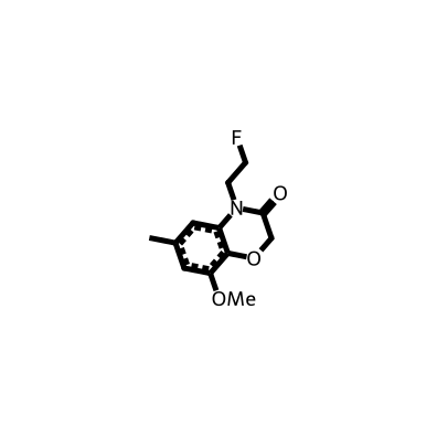 COc1cc(C)cc2c1OCC(=O)N2CCF